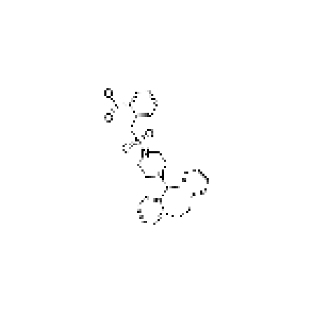 O=[N+]([O-])c1ccccc1CS(=O)(=O)N1CCN(C2c3ccccc3CCc3ccccc32)CC1